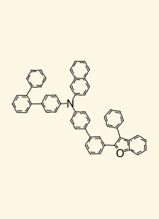 c1ccc(-c2ccccc2-c2ccc(N(c3ccc(-c4cccc(-c5oc6ccccc6c5-c5ccccc5)c4)cc3)c3ccc4ccccc4c3)cc2)cc1